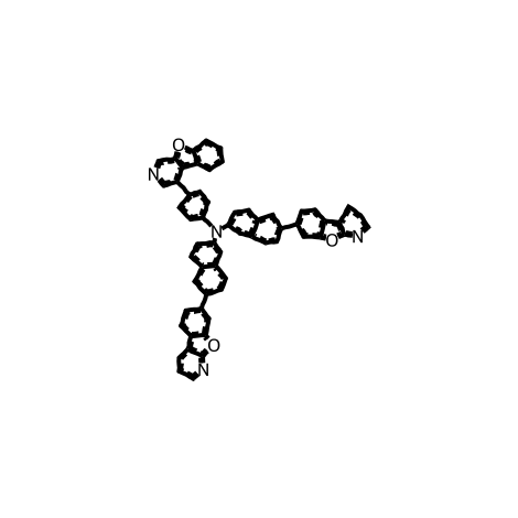 c1ccc2c(c1)oc1cncc(-c3ccc(N(c4ccc5cc(-c6ccc7c(c6)oc6ncccc67)ccc5c4)c4ccc5cc(-c6ccc7c(c6)oc6ncccc67)ccc5c4)cc3)c12